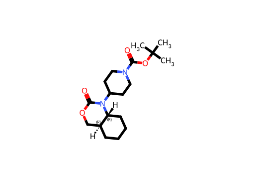 CC(C)(C)OC(=O)N1CCC(N2C(=O)OC[C@@H]3CCCC[C@H]32)CC1